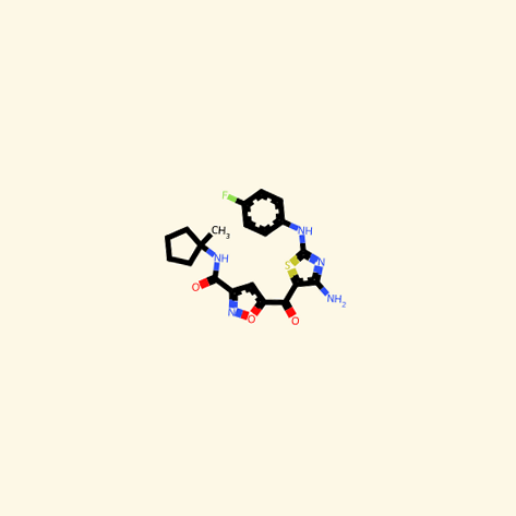 CC1(NC(=O)c2cc(C(=O)c3sc(Nc4ccc(F)cc4)nc3N)on2)CCCC1